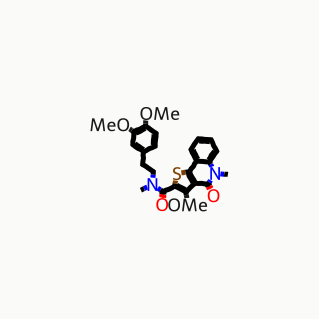 COc1ccc(CCN(C)C(=O)c2sc3c(c2OC)c(=O)n(C)c2ccccc32)cc1OC